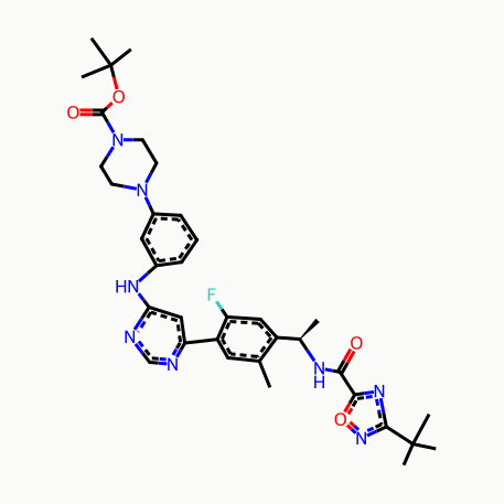 Cc1cc(-c2cc(Nc3cccc(N4CCN(C(=O)OC(C)(C)C)CC4)c3)ncn2)c(F)cc1[C@@H](C)NC(=O)c1nc(C(C)(C)C)no1